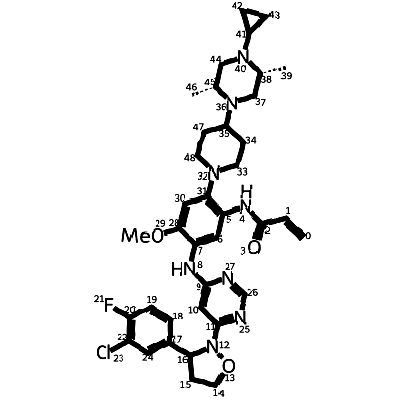 C=CC(=O)Nc1cc(Nc2cc(N3OCCC3c3ccc(F)c(Cl)c3)ncn2)c(OC)cc1N1CCC(N2C[C@@H](C)N(C3CC3)C[C@H]2C)CC1